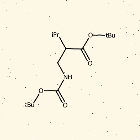 CC(C)C(CNC(=O)OC(C)(C)C)C(=O)OC(C)(C)C